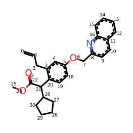 C=CCc1cc(OCc2ccc3ccccc3n2)ccc1C(C(=O)OC)C1CCCC1